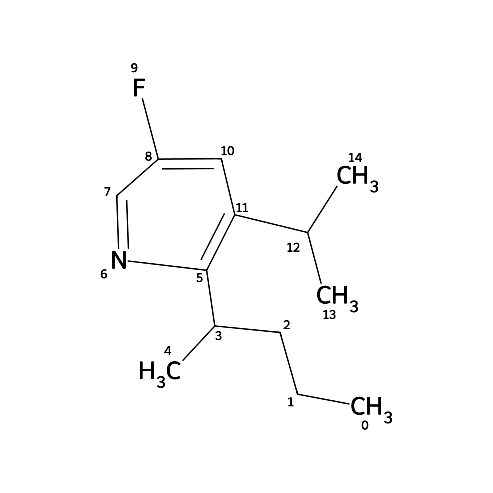 CCCC(C)c1ncc(F)cc1C(C)C